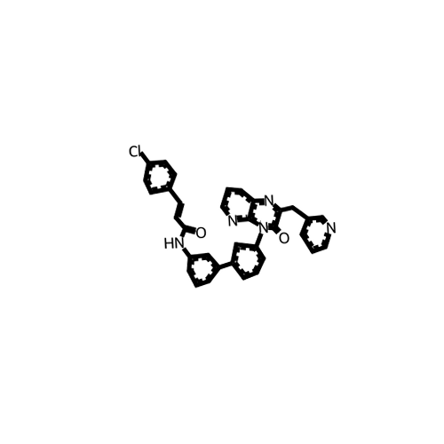 O=C(C=Cc1ccc(Cl)cc1)Nc1cccc(-c2cccc(-n3c(=O)c(Cc4cccnc4)nc4cccnc43)c2)c1